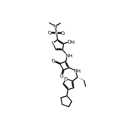 CC[C@@H](Nc1c(Nc2csc(S(=O)(=O)N(C)C)c2O)c(=O)c1=O)c1cc(C2CCCC2)co1